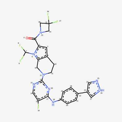 O=C(c1cc2c(n1C(F)F)CN(c1ncc(F)c(Nc3ccc(-c4cn[nH]c4)cc3)n1)CC2)N1CC(F)(F)C1